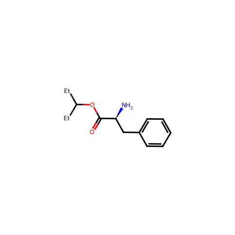 CCC(CC)OC(=O)[C@@H](N)Cc1ccccc1